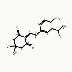 CC/C=C\C(=C/CC(C)Cl)NC=C1C(=O)CC(C)(C)CC1=O